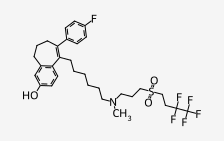 CN(CCCCCCC1=C(c2ccc(F)cc2)CCCc2cc(O)ccc21)CCCS(=O)(=O)CCC(F)(F)C(F)(F)F